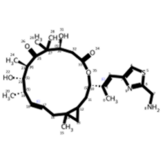 C/C(=C\c1csc(CN)n1)[C@@H]1CC2CC2(C)C/C=C/[C@H](C)[C@H](O)[C@@H](C)C(=O)C(C)(C)[C@@H](O)CC(=O)O1